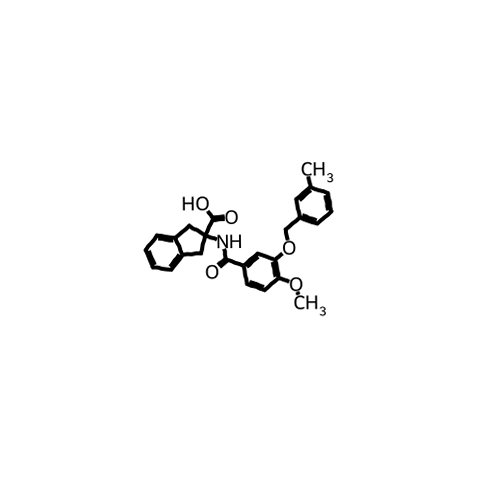 COc1ccc(C(=O)NC2(C(=O)O)Cc3ccccc3C2)cc1OCc1cccc(C)c1